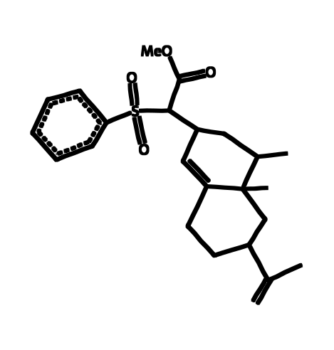 C=C(C)C1CCC2=CC(C(C(=O)OC)S(=O)(=O)c3ccccc3)CC(C)C2(C)C1